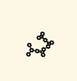 c1ccc(-c2cc(-c3ccccc3)cc(-c3ccc(-n4c5ccccc5c5cc(-c6ccc7c8ccccc8n(-c8ccc(-n9c%10ccccc%10c%10ccccc%109)cc8)c7c6)ccc54)cc3)c2)cc1